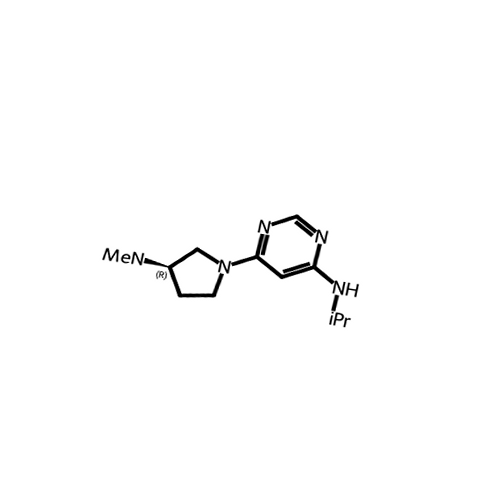 CN[C@@H]1CCN(c2cc(NC(C)C)ncn2)C1